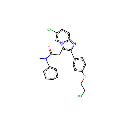 CN(C(=O)Cc1c(-c2ccc(OCC[18F])cc2)nc2ccc(Cl)cn12)c1ccccc1